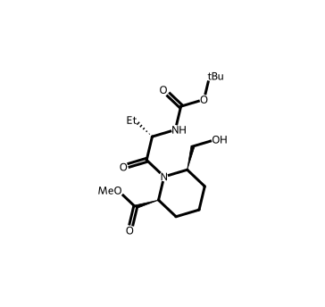 CC[C@H](NC(=O)OC(C)(C)C)C(=O)N1[C@@H](CO)CCC[C@H]1C(=O)OC